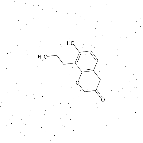 CCCc1c(O)ccc2c1OCC(=O)C2